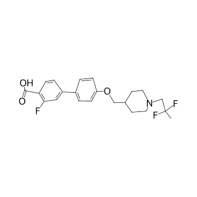 CC(F)(F)CN1CCC(COc2ccc(-c3ccc(C(=O)O)c(F)c3)cc2)CC1